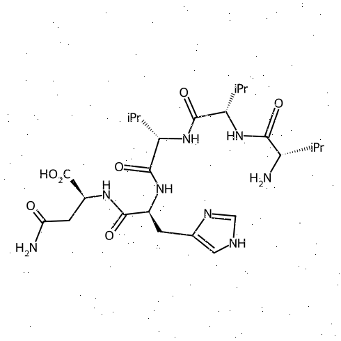 CC(C)[C@H](N)C(=O)N[C@H](C(=O)N[C@H](C(=O)N[C@@H](Cc1c[nH]cn1)C(=O)N[C@@H](CC(N)=O)C(=O)O)C(C)C)C(C)C